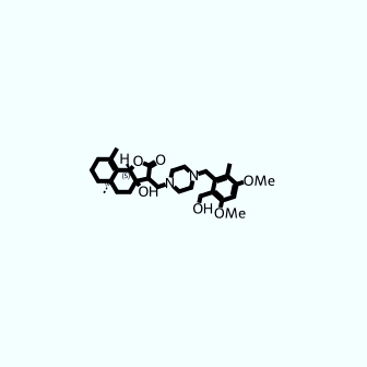 COc1cc(OC)c(CO)c(CN2CCN(CC3C(=O)O[C@H]4C5=C(C)CCC[C@]5(C)CCC34O)CC2)c1C